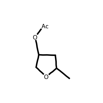 CC(=O)OC1COC(C)C1